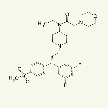 CCN(C(=O)CN1CCOCC1)C1CCN(CC[C@H](c2ccc(S(C)(=O)=O)cc2)c2cc(F)cc(F)c2)CC1